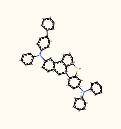 c1ccc(-c2ccc(N(c3ccccc3)c3ccc4cc5c6c(cccc6c4c3)Sc3cc(N(c4ccccc4)c4ccccc4)ccc3-5)cc2)cc1